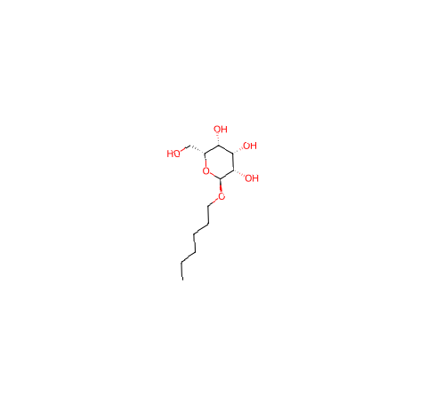 CCCCCCO[C@H]1O[C@H](CO)[C@H](O)[C@H](O)[C@@H]1O